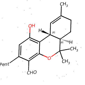 CCCCCc1cc(O)c2c(c1C=O)OC(C)(C)[C@@H]1CCC(C)=C[C@@H]21